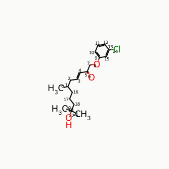 C[C@@H](C/C=C/C(=O)COc1cccc(Cl)c1)CCCC(C)(C)O